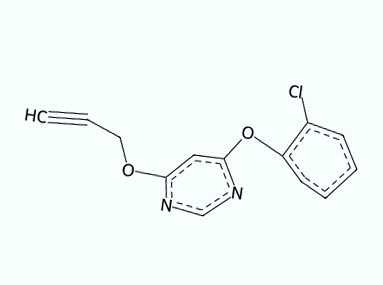 C#CCOc1cc(Oc2ccccc2Cl)ncn1